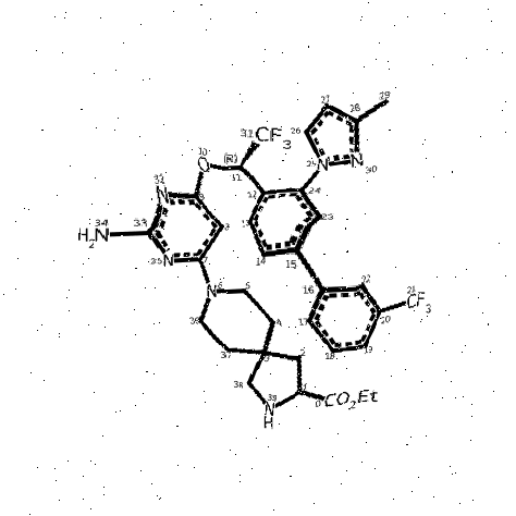 CCOC(=O)C1CC2(CCN(c3cc(O[C@H](c4ccc(-c5cccc(C(F)(F)F)c5)cc4-n4ccc(C)n4)C(F)(F)F)nc(N)n3)CC2)CN1